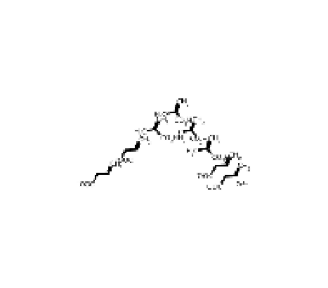 C=C(C)C(=O)O.C=C(C)C(=O)O.C=C(C)C(=O)O.C=C(C)C(=O)O.C=CCC(=O)[O-].C=CCC(=O)[O-].C=CCC(=O)[O-].C=CCC(=O)[O-].[Zr+4]